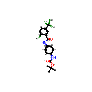 CC(C)(C)OC(=O)Nc1ccc(NC(=O)c2cc(C(F)(F)F)ccc2F)cc1